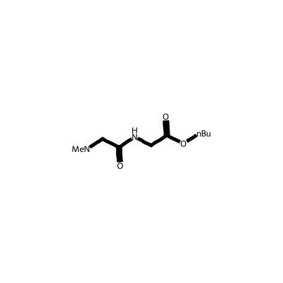 CCCCOC(=O)CNC(=O)CNC